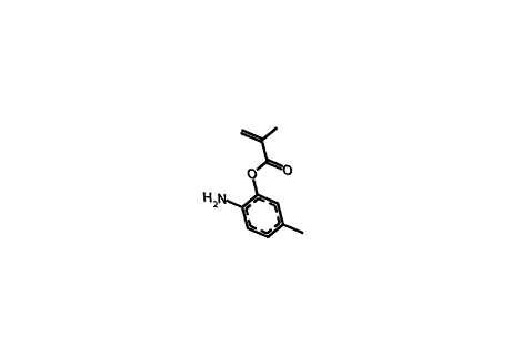 C=C(C)C(=O)Oc1cc(C)ccc1N